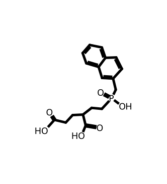 O=C(O)CCC(CCP(=O)(O)Cc1ccc2ccccc2c1)C(=O)O